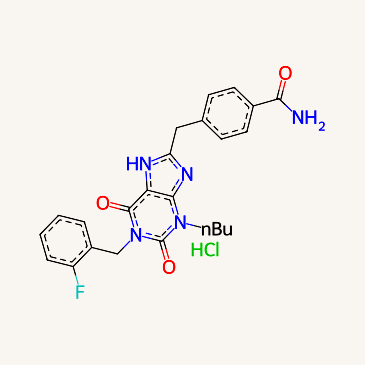 CCCCn1c(=O)n(Cc2ccccc2F)c(=O)c2[nH]c(Cc3ccc(C(N)=O)cc3)nc21.Cl